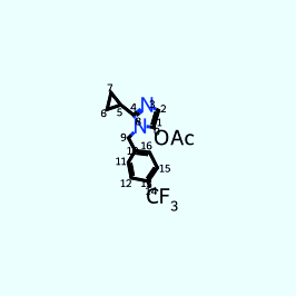 CC(=O)Oc1cnc(C2CC2)n1Cc1ccc(C(F)(F)F)cc1